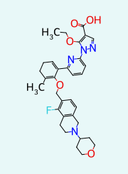 CCOc1c(C(=O)O)cnn1-c1cccc(C2=CCCC(C)=C2OCc2ccc3c(c2F)CCN(C2CCOCC2)C3)n1